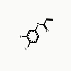 C=CC(=O)Oc1ccc(Br)c(F)c1